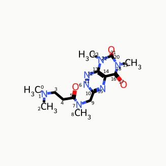 CN(C)CCC(=O)N(C)Cc1nnc2c(n1)c(=O)n(C)c(=O)n2C